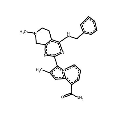 Cc1cc2c(C(N)=O)cccn2c1-c1nc2c(c(NCc3ccccc3)n1)CCN(C)C2